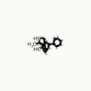 [CH]c1c2c3c(-c4ccccc4)c4c1C4C3=C(C)[SiH]2